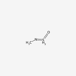 CN=[SH2]=O